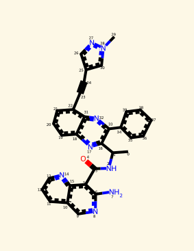 CC(NC(=O)c1c(N)ncc2cccnc12)c1nc2cccc(C#Cc3cnn(C)c3)c2nc1-c1ccccc1